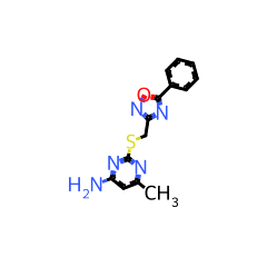 Cc1cc(N)nc(SCc2noc(-c3ccccc3)n2)n1